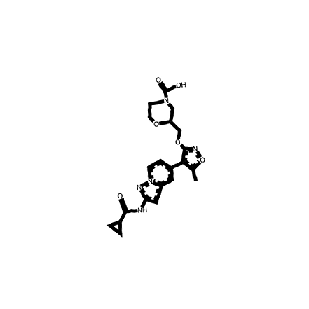 Cc1onc(OCC2CN(C(=O)O)CCO2)c1-c1ccn2nc(NC(=O)C3CC3)cc2c1